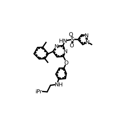 Cc1cccc(C)c1-c1cc(Oc2ccc(NCCC(C)C)cc2)nc(NS(=O)(=O)c2cnn(C)c2)n1